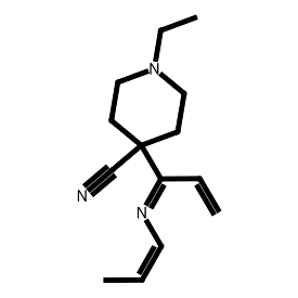 C=C/C(=N\C=C/C)C1(C#N)CCN(CC)CC1